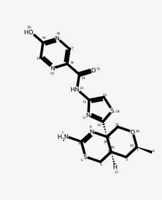 C[C@H]1C[C@H]2CSC(N)=N[C@@]2(c2nc(NC(=O)c3cnc(O)cn3)cs2)CO1